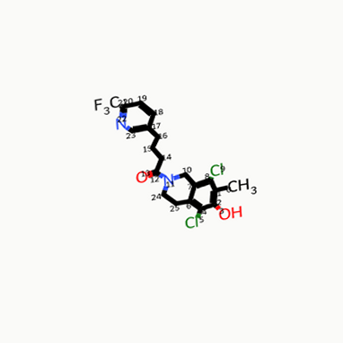 Cc1c(O)c(Cl)c2c(c1Cl)CN(C(=O)CCCc1ccc(C(F)(F)F)nc1)CC2